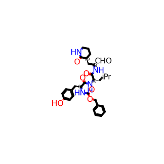 CC(C)C[C@H](NC(=O)[C@H](Cc1ccc(O)cc1)NC(=O)OCc1ccccc1)C(=O)N[C@H](C=O)C[C@@H]1CCCNC1=O